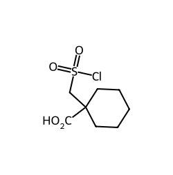 O=C(O)C1(CS(=O)(=O)Cl)CCCCC1